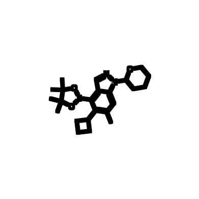 Cc1cc2c(cnn2C2CCCCO2)c(B2OC(C)(C)C(C)(C)O2)c1C1CCC1